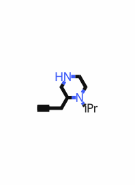 C#CCC1CNCCN1C(C)C